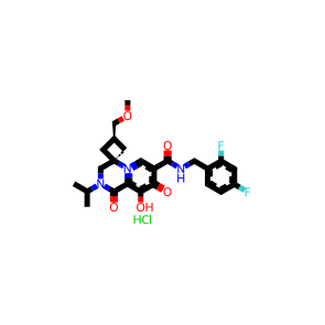 COC[C@H]1C[C@]2(CN(C(C)C)C(=O)c3c(O)c(=O)c(C(=O)NCc4ccc(F)cc4F)cn32)C1.Cl